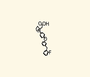 O=C(O)CC1CCCN1c1ccc(Oc2cccc(Cc3ccccc3F)c2)cc1